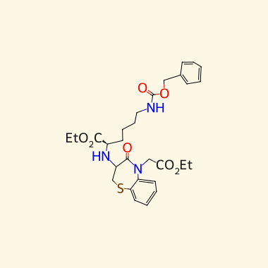 CCOC(=O)CN1C(=O)C(N[C@H](CCCCNC(=O)OCc2ccccc2)C(=O)OCC)CSc2ccccc21